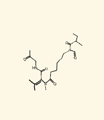 CCC(C)C(=O)N(C=O)CCCCCC(=O)N(C)C(C(=O)NCC(C)=O)=C(C)C